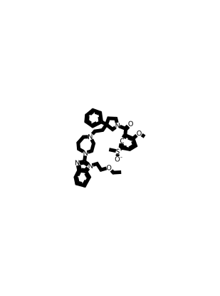 CCOCCn1c(N2CCCN(CCC3(c4ccccc4)CCN(C(=O)c4cc([S+](C)[O-])ccc4OC)C3)CC2)nc2ccccc21